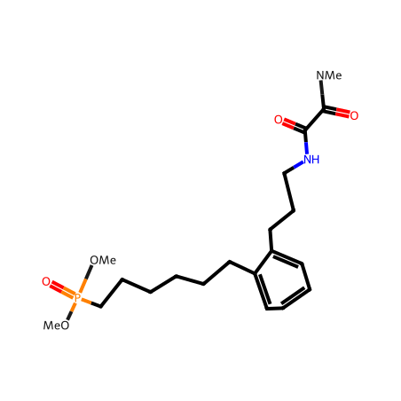 CNC(=O)C(=O)NCCCc1ccccc1CCCCCCP(=O)(OC)OC